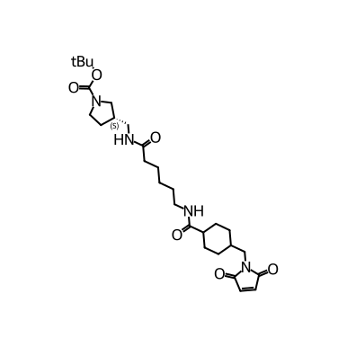 CC(C)(C)OC(=O)N1CC[C@@H](CNC(=O)CCCCCNC(=O)C2CCC(CN3C(=O)C=CC3=O)CC2)C1